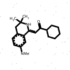 CNc1ccc2c(c1)C(=CC(=O)C1CCCCC1)NC(C)(C)C2